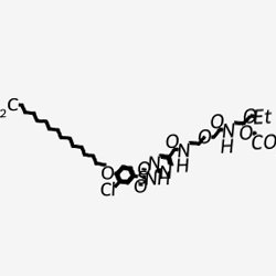 CCOC(CNC(=O)COCCNC(=O)c1cnc(NS(=O)(=O)c2ccc(OCCCCCCCCCCCCCCCC(=O)O)c(Cl)c2)nc1)OCC(=O)O